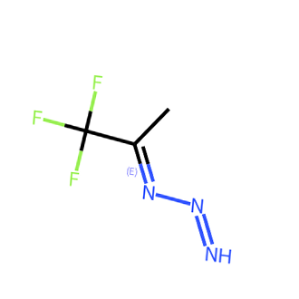 C/C(=N\N=N)C(F)(F)F